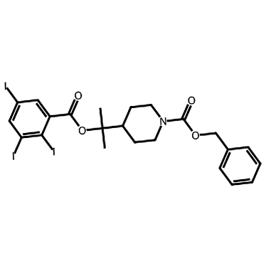 CC(C)(OC(=O)c1cc(I)cc(I)c1I)C1CCN(C(=O)OCc2ccccc2)CC1